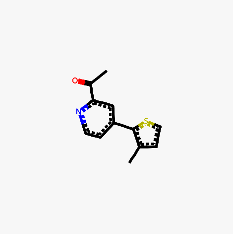 CC(=O)c1cc(-c2sccc2C)ccn1